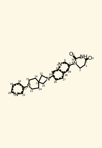 O=C1CCN(c2cnc3cc(N4CC5(CCN(c6cccnc6)CC5)C4)ccc3c2)C(=O)N1